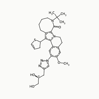 COc1cc2c(cc1-n1cc(C[C@H](O)CO)nn1)-c1c(C3CC=CS3)c3c(n1CC2)C(=O)N(C(C)(C)C)CCCC3